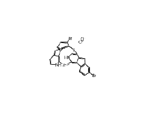 Brc1ccc2c3[c]4[nH]cc(c-3cc2c1)Sc1c(Br)ccc2c3[c]([nH]ccc-3cc12)[Zr+2]4.[Cl-].[Cl-]